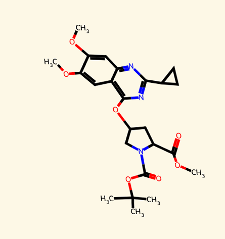 COC(=O)C1CC(Oc2nc(C3CC3)nc3cc(OC)c(OC)cc23)CN1C(=O)OC(C)(C)C